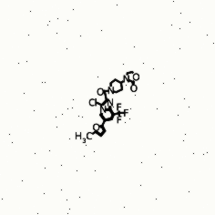 Cc1ccc(-c2cc(C(F)(F)F)c3nc(C(=O)N4CCC(N5CCOC5=O)CC4)c(Cl)n3c2)o1